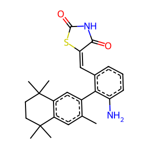 Cc1cc2c(cc1-c1c(N)cccc1/C=C1/SC(=O)NC1=O)C(C)(C)CCC2(C)C